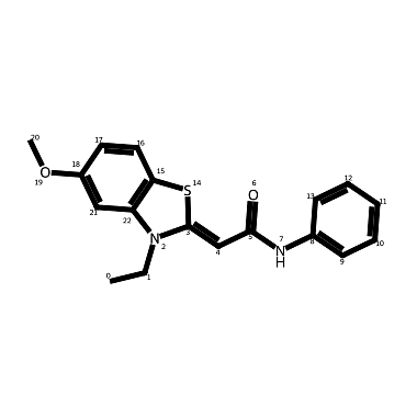 CCN1/C(=C/C(=O)Nc2ccccc2)Sc2ccc(OC)cc21